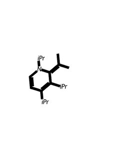 CC(C)=C1C(C(C)C)=C(C(C)C)C=CN1C(C)C